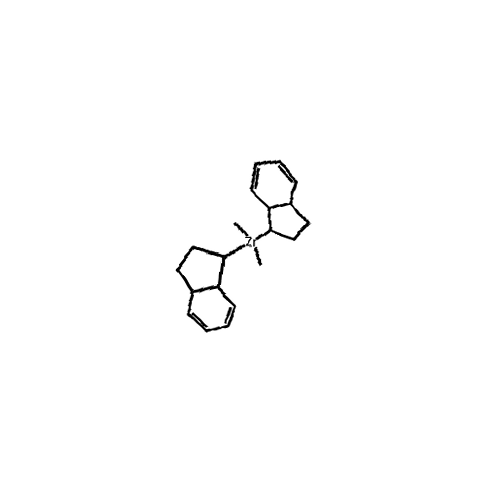 [CH3][Zr]([CH3])([CH]1CCC2C=CC=CC21)[CH]1CCC2C=CC=CC21